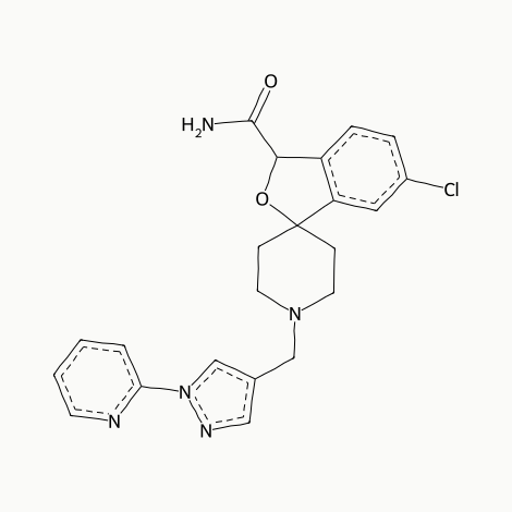 NC(=O)C1OC2(CCN(Cc3cnn(-c4ccccn4)c3)CC2)c2cc(Cl)ccc21